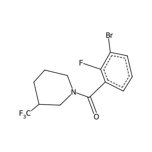 O=C(c1cccc(Br)c1F)N1CCCC(C(F)(F)F)C1